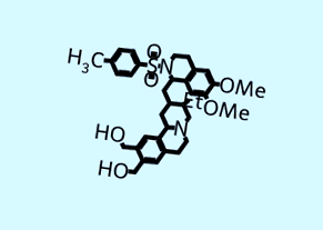 CCC1CN2CCc3cc(CO)c(CO)cc3C2CC1CC1c2cc(OC)c(OC)cc2CCN1S(=O)(=O)c1ccc(C)cc1